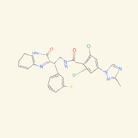 Cc1ncn(-c2cc(Cl)c(C(=O)NCC(c3cccc(F)c3)c3nc4c([nH]c3=O)CCC=C4)c(Cl)c2)n1